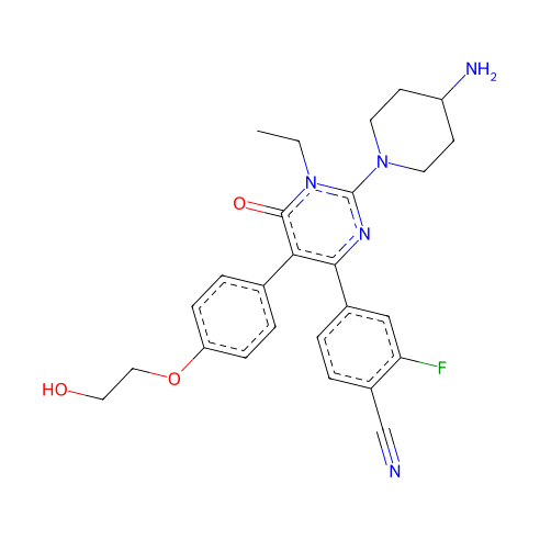 CCn1c(N2CCC(N)CC2)nc(-c2ccc(C#N)c(F)c2)c(-c2ccc(OCCO)cc2)c1=O